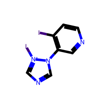 Ic1ccncc1-n1cnc[n+]1I